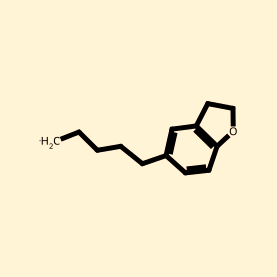 [CH2]CCCCc1ccc2c(c1)CCO2